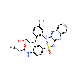 CNCC(=O)Nc1ccc(S(=O)(=O)Nc2nc3ccccc3nc2Nc2cc(O)ccc2CCCO)cc1